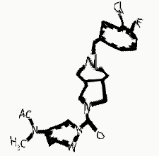 CC(=O)N(C)c1cnn(C(=O)N2CC3CN(Cc4ccc(F)c(Cl)c4)CC3C2)c1